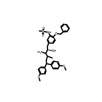 COc1ccc(C(CC(C)C(N)[C@H](O)Cc2ccc(OCc3ccccc3)c(NS(C)(=O)=O)c2)c2ccc(OC)cc2)cc1